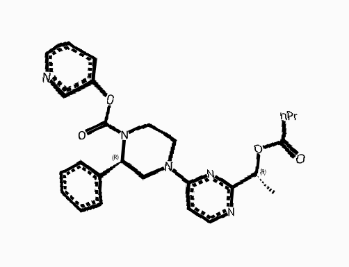 CCCC(=O)O[C@H](C)c1nccc(N2CCN(C(=O)Oc3cccnc3)[C@H](c3ccccc3)C2)n1